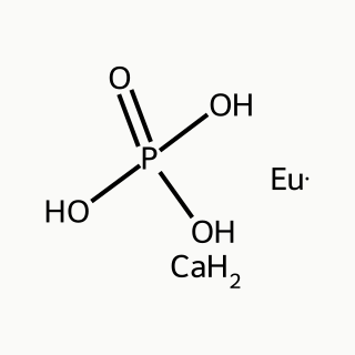 O=P(O)(O)O.[CaH2].[Eu]